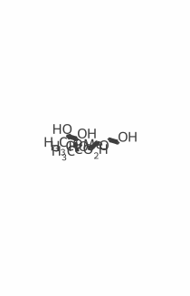 CC(=O)O.CC(O)CO.COC.OCCOCCO